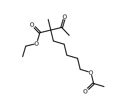 CCOC(=O)C(C)(CCCCCOC(C)=O)C(C)=O